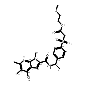 COCCOC(=O)CS(=O)(=O)c1ccc([C@@H](C)NC(=O)c2cc3c(Cl)c(Cl)c(C)nc3n2C)cc1